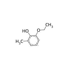 CCOc1c[c]cc(C)c1O